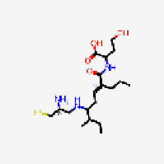 CCC/C(=C\CC(NC[C@H](N)CS)C(C)CC)C(=O)NC(CCO)C(=O)O